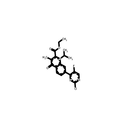 CCOC(=O)c1c(C)c(=O)c2ccc(-c3nc(Cl)ncc3F)cc2n1C(C)C